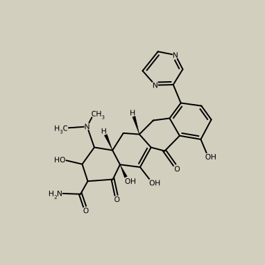 CN(C)C1C(O)C(C(N)=O)C(=O)[C@@]2(O)C(O)=C3C(=O)c4c(O)ccc(-c5cnccn5)c4C[C@H]3C[C@@H]12